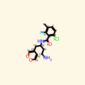 Cc1ccc(Cl)c(C(=O)NC(CCN)CC2=COOC=C2)c1F